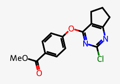 COC(=O)c1ccc(Oc2nc(Cl)nc3c2CCC3)cc1